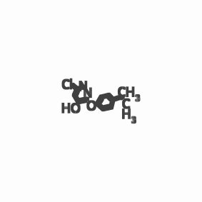 CC(C)c1ccc(Oc2nnc(Cl)cc2O)cc1